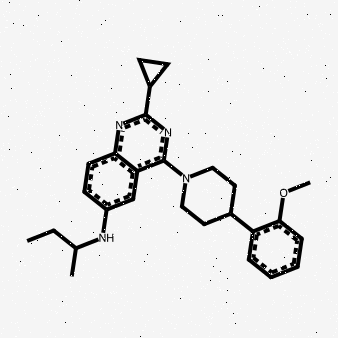 CCC(C)Nc1ccc2nc(C3CC3)nc(N3CCC(c4ccccc4OC)CC3)c2c1